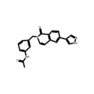 CC(=O)Nc1cccc(Cn2ccc3cc(-c4cn[nH]c4)ccc3c2=O)c1